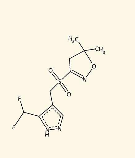 CC1(C)CC(S(=O)(=O)Cc2cn[nH]c2C(F)F)=NO1